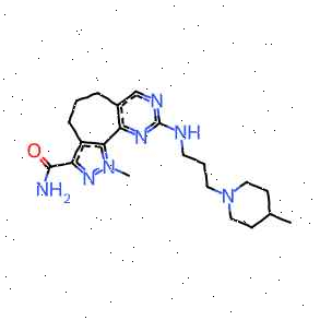 CC1CCN(CCCNc2ncc3c(n2)-c2c(c(C(N)=O)nn2C)CCC3)CC1